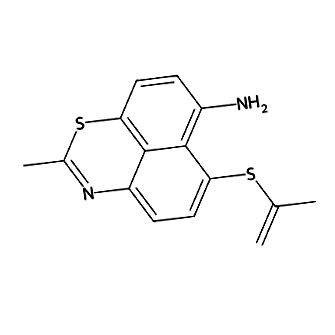 C=C(C)Sc1ccc2c3c(ccc(N)c13)SC(C)=N2